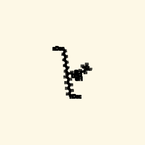 CCCCCCCCCCCCCCCCCCC(CCCCCCCCCCCCCCCCC)COP(=O)(O)OCC[N+](C)(C)C